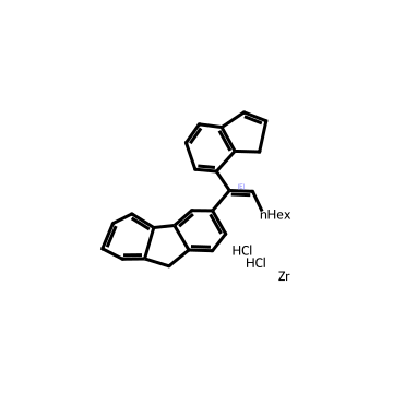 CCCCCC/C=C(\c1ccc2c(c1)-c1ccccc1C2)c1cccc2c1CC=C2.Cl.Cl.[Zr]